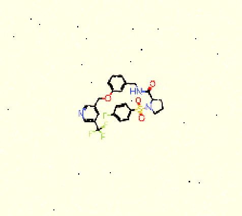 O=C(NCc1cccc(OCc2cncc(C(F)(F)F)c2)c1)C1CCCN1S(=O)(=O)c1ccc(F)cc1